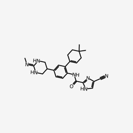 CN=C1NCC(c2ccc(NC(=O)c3nc(C#N)c[nH]3)c(C3=CCC(C)(C)CC3)c2)CN1